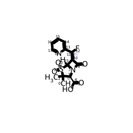 CC1(C)[C@H](C(=O)O)N2C(=O)/C(=C(\F)c3ccccn3)[C@H]2S1(=O)=O